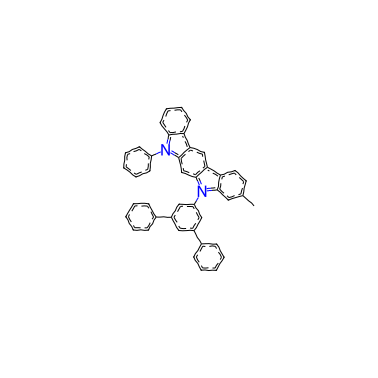 Cc1ccc2c3cc4c5ccccc5n(-c5ccccc5)c4cc3n(-c3cc(-c4ccccc4)cc(-c4ccccc4)c3)c2c1